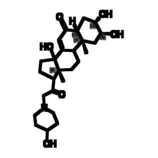 C[C@]12C[C@H](O)[C@H](O)C[C@H]1C(=O)C=C1C2CC[C@]2(C)C(C(=O)CN3CCC(O)CC3)CCC12O